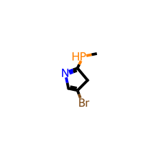 CPC1=NC=C(Br)C1